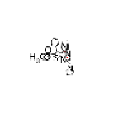 COC(=O)c1sc2ncnc(N3C4CCC3CC(COCCN3CCCC3)C4)c2c1-c1ccccc1